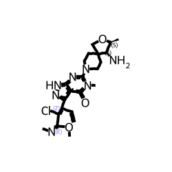 C=C/C(=C(Cl)\C(=N/C)OC)c1n[nH]c2nc(N3CCC4(CC3)CO[C@@H](C)[C@H]4N)n(C)c(=O)c12